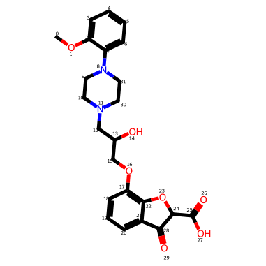 COc1ccccc1N1CCN(CC(O)COc2cccc3c2OC(C(=O)O)C3=O)CC1